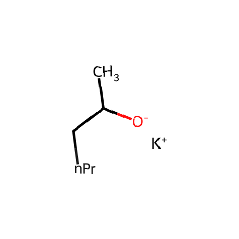 CCCCC(C)[O-].[K+]